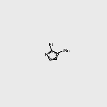 CCc1nccn1C(C)(C)C